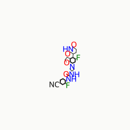 N#Cc1ccc(NC(=O)NC2CN(c3cc(F)c(C4CCC(=O)NC4=O)c4c3OCC4)C2)c(F)c1